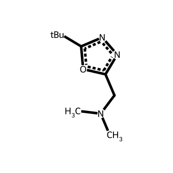 CN(C)Cc1nnc(C(C)(C)C)o1